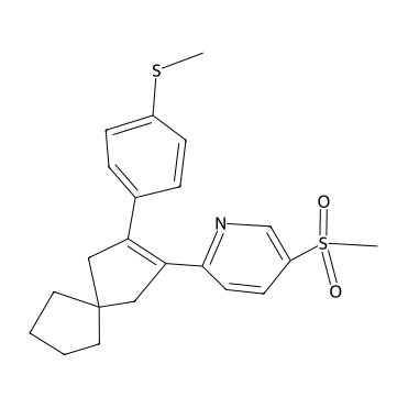 CSc1ccc(C2=C(c3ccc(S(C)(=O)=O)cn3)CC3(CCCC3)C2)cc1